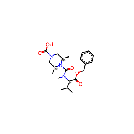 CC(C)[C@@H](C(=O)OCc1ccccc1)N(C)C(=O)N1[C@H](C)CN(C(=O)O)C[C@H]1C